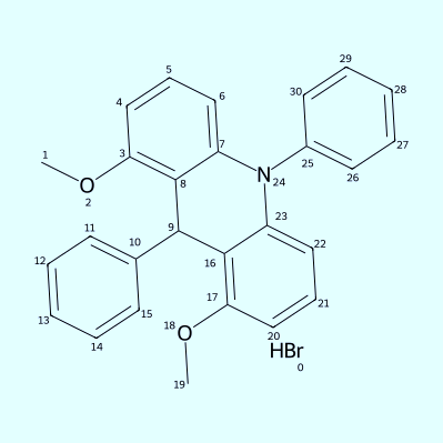 Br.COc1cccc2c1C(c1ccccc1)c1c(OC)cccc1N2c1ccccc1